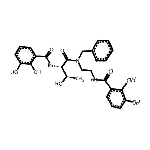 C[C@@H](O)[C@H](NC(=O)c1cccc(O)c1O)C(=O)N(CCNC(=O)c1cccc(O)c1O)Cc1ccccc1